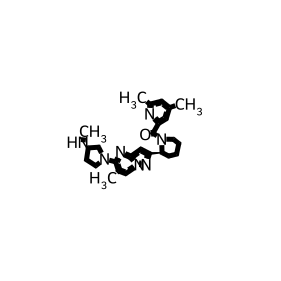 CN[C@H]1CCN(c2nc3cc([C@@H]4CCCCN4C(=O)c4cc(C)cc(C)n4)nn3cc2C)C1